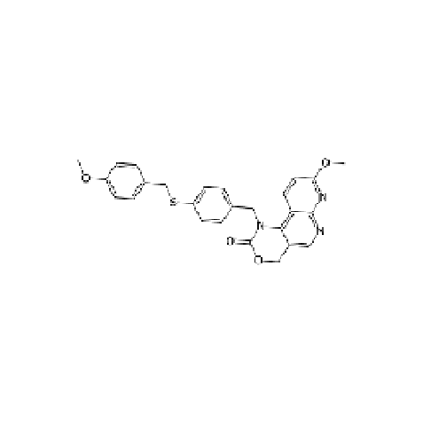 COc1ccc(CSc2ccc(CN3C(=O)OCc4cnc5nc(OC)ccc5c43)cc2)cc1